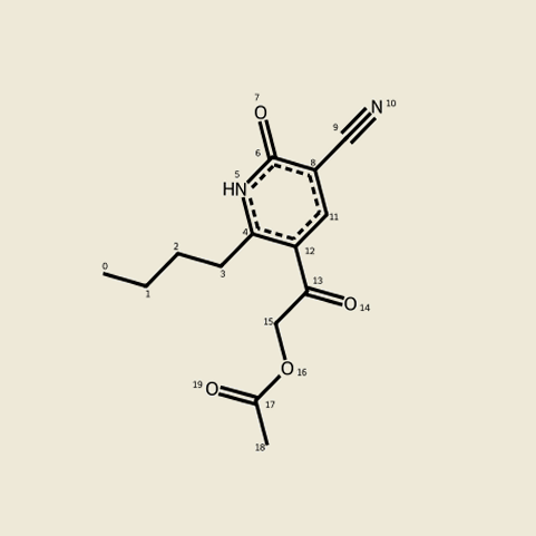 CCCCc1[nH]c(=O)c(C#N)cc1C(=O)COC(C)=O